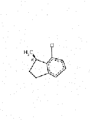 C[C@@H]1CCc2cccc(Cl)c21